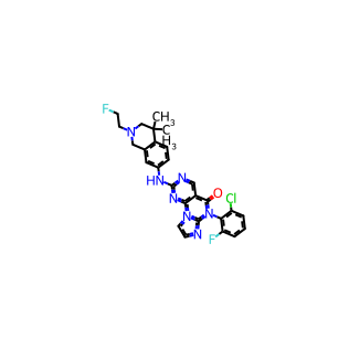 CC1(C)CN(CCF)Cc2cc(Nc3ncc4c(=O)n(-c5c(F)cccc5Cl)c5nccn5c4n3)ccc21